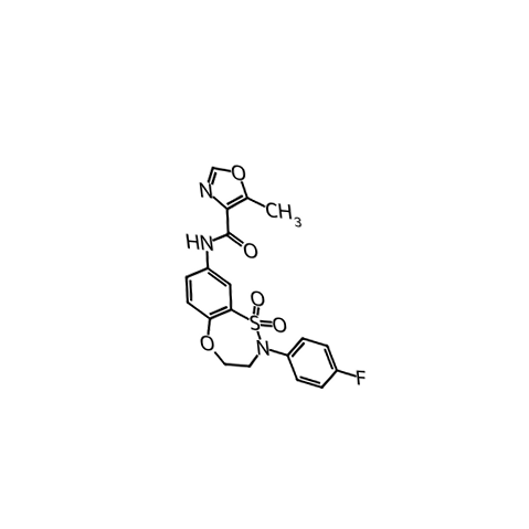 Cc1ocnc1C(=O)Nc1ccc2c(c1)S(=O)(=O)N(c1ccc(F)cc1)CCO2